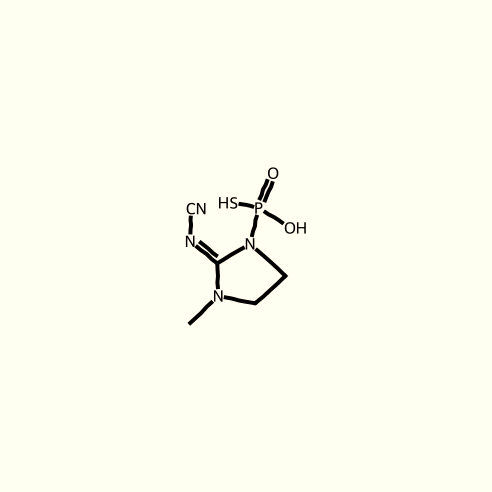 CN1CCN(P(=O)(O)S)C1=NC#N